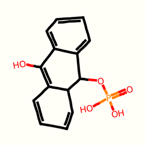 O=P(O)(O)OC1c2ccccc2C(O)=C2C=CC=CC21